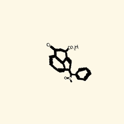 C[S+]([O-])C(=C1C=C2c3c(cccc31)C(=O)CC2C(=O)O)c1ccccc1